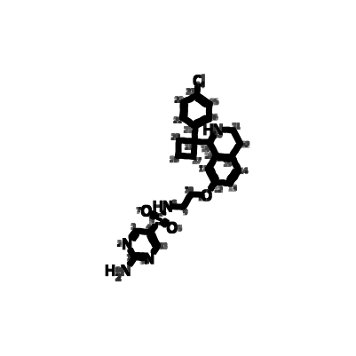 Nc1ncc(S(=O)(=O)NCCOc2ccc3c(c2)C(C2(c4ccc(Cl)cc4)CCC2)NCC3)cn1